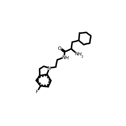 NC(CC1CCCCC1)C(=O)NCCN1CCc2cc(F)ccc21